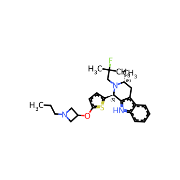 CCCN1CC(Oc2ccc([C@@H]3c4[nH]c5ccccc5c4C[C@@H](C)N3CC(C)(C)F)s2)C1